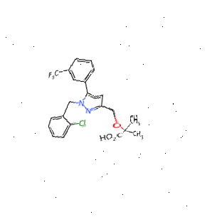 CC(C)(OCc1cc(-c2cccc(C(F)(F)F)c2)n(Cc2ccccc2Cl)n1)C(=O)O